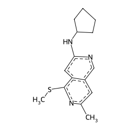 CSc1nc(C)cc2cnc(NC3CCCC3)cc12